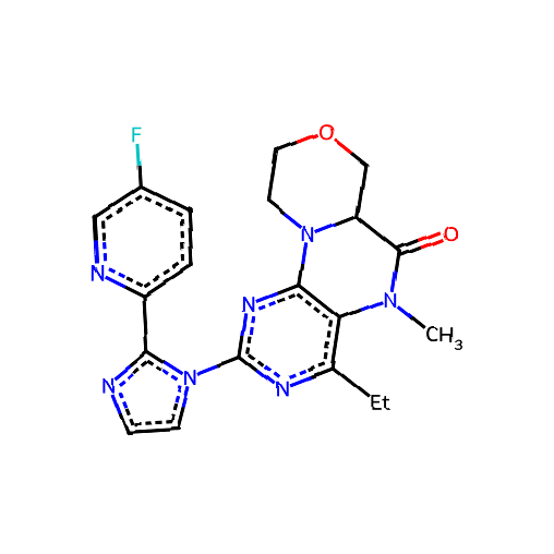 CCc1nc(-n2ccnc2-c2ccc(F)cn2)nc2c1N(C)C(=O)C1COCCN21